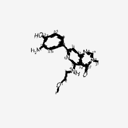 COCCNc1nc(-c2ccc(O)c(N)c2)cc2ncn(C)c(=O)c12